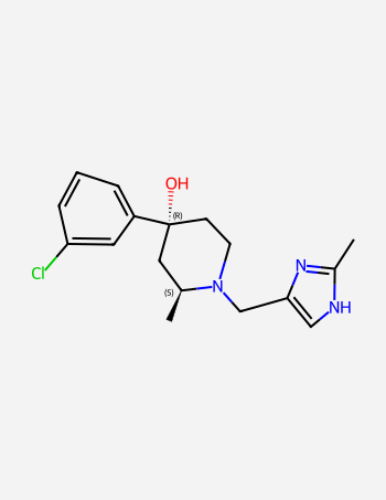 Cc1nc(CN2CC[C@](O)(c3cccc(Cl)c3)C[C@@H]2C)c[nH]1